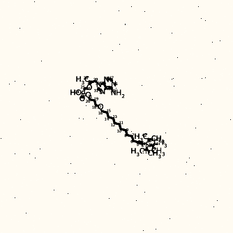 CC(C)[Si](C#CCCCCCCCCCCCOCCCOP(=O)(O)CO[C@H](C)Cn1cnc2c(N)ncnc21)(C(C)C)C(C)C